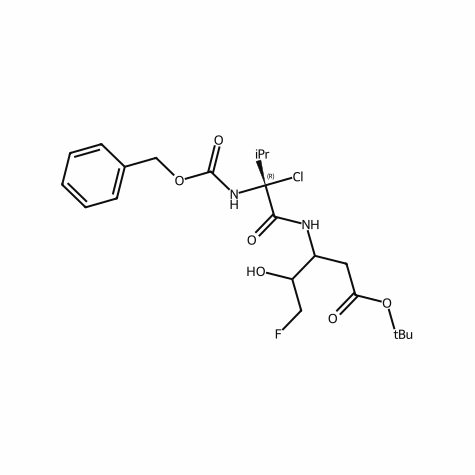 CC(C)[C@](Cl)(NC(=O)OCc1ccccc1)C(=O)NC(CC(=O)OC(C)(C)C)C(O)CF